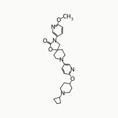 COc1ccc(N2CC3(CCN(c4ccc(OC5CCN(C6CCC6)CC5)nc4)CC3)OC2=O)cn1